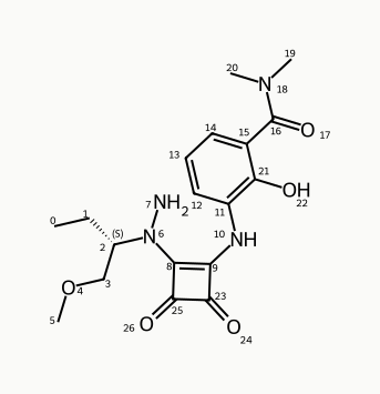 CC[C@@H](COC)N(N)c1c(Nc2cccc(C(=O)N(C)C)c2O)c(=O)c1=O